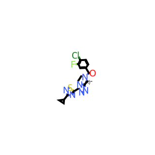 C[C@@H]1c2nnc(-c3nc(C4CC4)ns3)n2CCN1C(=O)c1ccc(Cl)c(F)c1